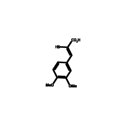 COc1ccc(/C=C(\S)C(=O)O)cc1OC